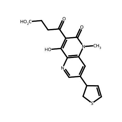 Cn1c(=O)c(C(=O)CCC(=O)O)c(O)c2ncc(C3C=CSC3)cc21